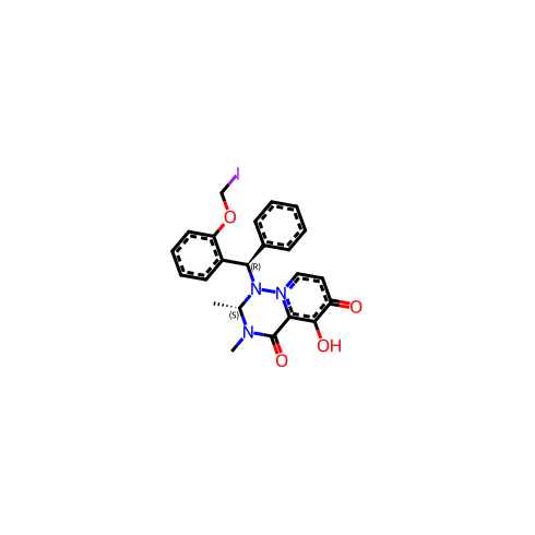 C[C@H]1N(C)C(=O)c2c(O)c(=O)ccn2N1[C@H](c1ccccc1)c1ccccc1OCI